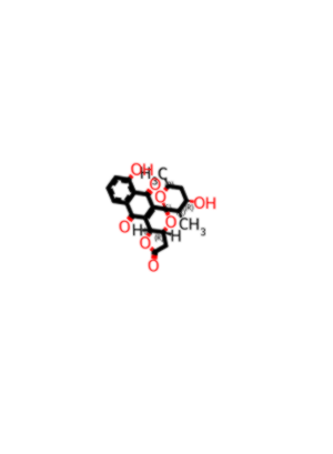 C[C@@H]1C[C@@H](O)[C@@H](C)[C@]2(O1)O[C@@H]1CC(=O)O[C@@H]1C1=C2C(=O)c2c(O)cccc2C1=O